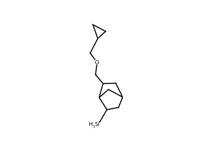 [SiH3]C1CC2CC(COCC3CC3)C1C2